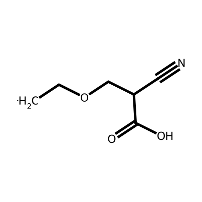 [CH2]COCC(C#N)C(=O)O